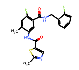 Cc1ncc(C(=O)Nc2cc(C(=O)NCc3ccccc3F)c(F)cc2C)s1